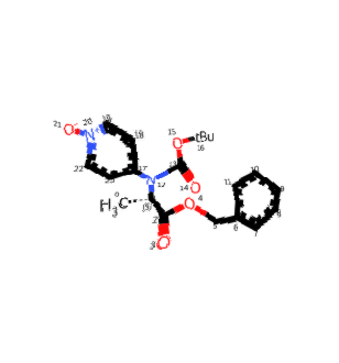 C[C@@H](C(=O)OCc1ccccc1)N(C(=O)OC(C)(C)C)c1cc[n+]([O-])cc1